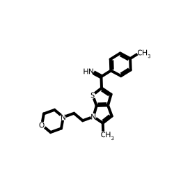 Cc1ccc(C(=N)c2cc3cc(C)n(CCN4CCOCC4)c3s2)cc1